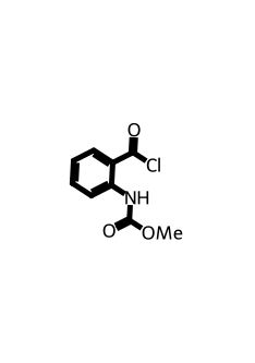 COC(=O)Nc1ccccc1C(=O)Cl